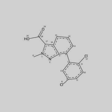 Cn1nc2c(-c3cc(Cl)ccc3Cl)cccc2c1C(=O)O